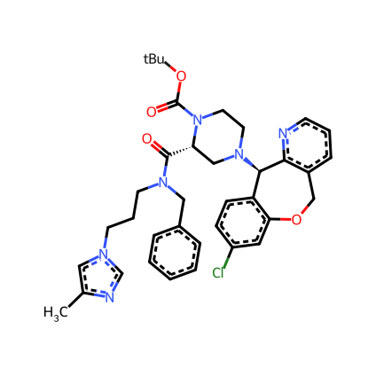 Cc1cn(CCCN(Cc2ccccc2)C(=O)[C@H]2CN([C@@H]3c4ccc(Cl)cc4OCc4cccnc43)CCN2C(=O)OC(C)(C)C)cn1